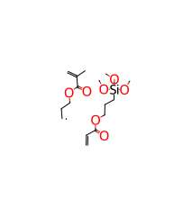 C=CC(=O)OCCC[Si](OC)(OC)OC.[CH2]CCOC(=O)C(=C)C